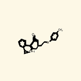 Cc1ccc(SCCC2CC(=O)C(c3ccccc3C3CC3)=C(O)C2)cc1